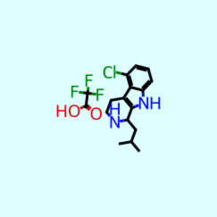 CC(C)CC1NCCc2c1[nH]c1cccc(Cl)c21.O=C(O)C(F)(F)F